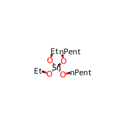 CCCCC[O][Sn]([O]CC)([O]CC)[O]CCCCC